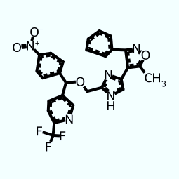 Cc1onc(-c2ccccc2)c1-c1c[nH]c(COC(c2ccc([N+](=O)[O-])cc2)c2ccc(C(F)(F)F)nc2)n1